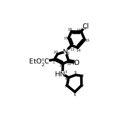 CCOC(=O)C1=C(NC2CCCCC2)C(=O)N(c2ccc(Cl)cc2)C1